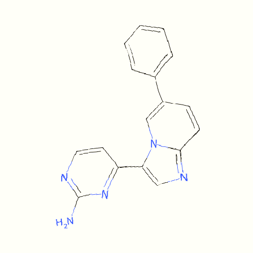 Nc1nccc(-c2cnc3ccc(-c4ccccc4)cn23)n1